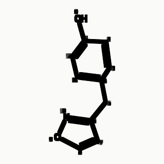 Oc1ccc(Cc2[c]con2)cc1